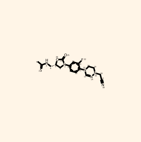 CC(=S)NC[C@H]1CN(c2ccc(N3C=NN(CC#N)CC3)c(F)c2)C(=O)O1